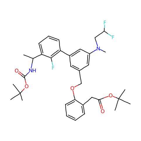 CC(NC(=O)OC(C)(C)C)c1cccc(-c2cc(COc3ccccc3CC(=O)OC(C)(C)C)cc(N(C)CC(F)F)c2)c1F